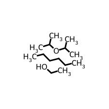 CC(C)OC(C)C.CCCCCC.CCO